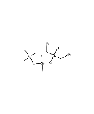 CC(C)C[Si](Cl)(CC(C)C)O[Si](C)(C)O[Si](C)(C)C